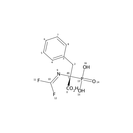 O=C(O)[C@](Cc1ccccc1)(N=C(F)F)P(=O)(O)O